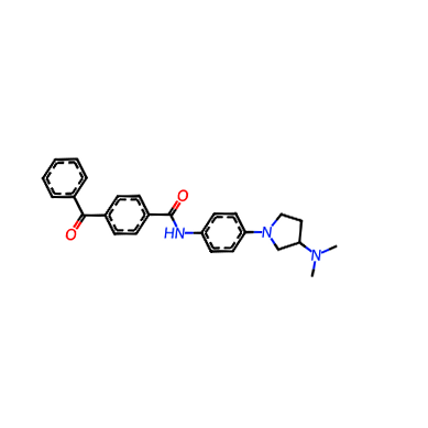 CN(C)C1CCN(c2ccc(NC(=O)c3ccc(C(=O)c4ccccc4)cc3)cc2)C1